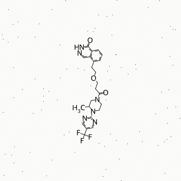 CC1CN(C(=O)CCOCCc2cccc3c(=O)[nH]ncc23)CCN1c1ncc(C(F)(F)F)cn1